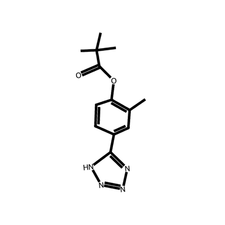 Cc1cc(-c2nnn[nH]2)ccc1OC(=O)C(C)(C)C